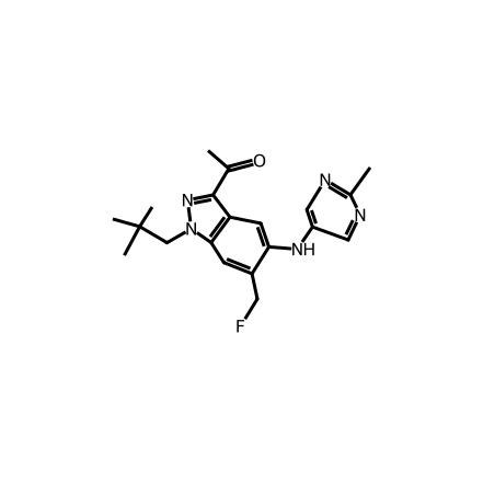 CC(=O)c1nn(CC(C)(C)C)c2cc(CF)c(Nc3cnc(C)nc3)cc12